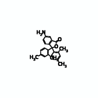 Cc1ccc(C2(c3ccc(C)cc3C)OC(=O)c3cc(N)ccc32)c(C)c1